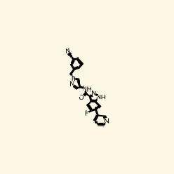 N#Cc1cccc(Cn2cc(NC(=O)c3n[nH]c4cc(-c5cccnc5)c(F)cc34)cn2)c1